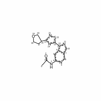 CC(=O)Nc1cc2c(cn1)cnn2-c1nc(C2CCOC2)ns1